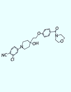 N#Cc1ccc(N2CCC(O)(CCOc3ccc(C(=O)N4CCOCC4)cc3)CC2)cc1Cl